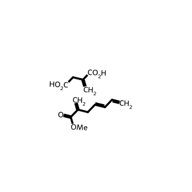 C=C(CC(=O)O)C(=O)O.C=CC=CCC(=C)C(=O)OC